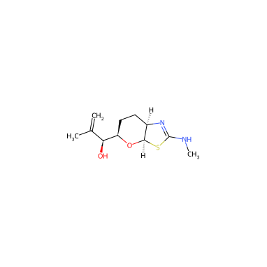 C=C(C)[C@H](O)[C@H]1CC[C@H]2N=C(NC)S[C@H]2O1